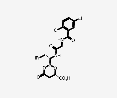 CC(C)C[C@H](NC(=O)CNC(=O)c1cc(Cl)ccc1Cl)B1OC(=O)C[C@@H](C(=O)O)O1